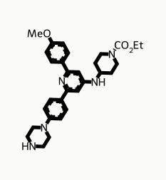 CCOC(=O)N1CCC(Nc2cc(-c3ccc(OC)cc3)nc(-c3ccc(N4CCNCC4)cc3)c2)CC1